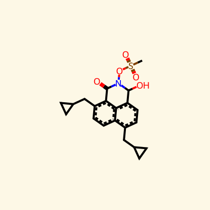 CS(=O)(=O)ON1C(=O)c2c(CC3CC3)ccc3c(CC4CC4)ccc(c23)C1O